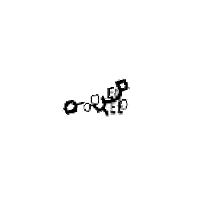 C=C(C(C)CC(=O)OCc1ccccc1)C(CC)(CC)C(=O)C1CCC1